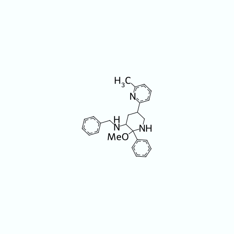 COC1(c2ccccc2)NCC(c2cccc(C)n2)CC1NCc1ccccc1